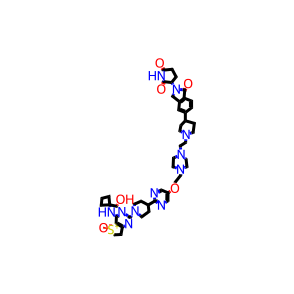 O=C1CCC(N2Cc3cc(C4CCN(CCN5CCN(CCOc6cnc(C7CCN(c8nc9c(c(NC%10(CO)CCC%10)n8)[S@+]([O-])CC9)CC7)nc6)CC5)CC4)ccc3C2=O)C(=O)N1